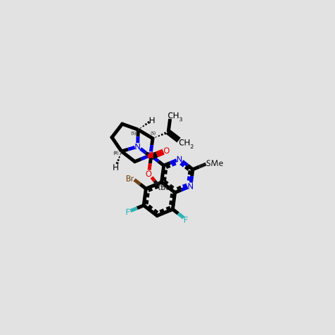 C=C(C)[C@H]1[C@@H]2CC[C@H](CN1c1nc(SC)nc3c(F)cc(F)c(Br)c13)N2C(=O)OC(C)(C)C